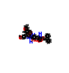 COc1ccc(C/N=C(/Nc2ccc(C[C@H](NC(=O)OCC3c4ccccc4-c4ccccc43)C(=O)O)cc2)NS(=O)(=O)c2c(C)c(C)c3c(c2C)CC(C)(C)O3)cc1